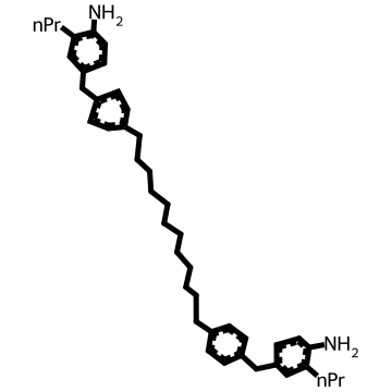 CCCc1cc(Cc2ccc(CCCCCCCCCCCCc3ccc(Cc4ccc(N)c(CCC)c4)cc3)cc2)ccc1N